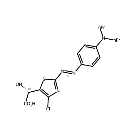 CCCN(CCC)c1ccc(/N=N/c2nc(Cl)c([C@@H](N=O)C(=O)O)s2)cc1